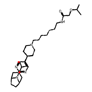 CC(C)OCC(=O)NCCCCCCCN1CCC(c2cnc(N3C4CCC3CN(C(C)C)C4)nc2)CC1